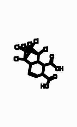 O=C(O)C1C=CC2C(C1C(=O)O)C1(Cl)C(Cl)=C(Cl)C2(Cl)C1(Cl)Cl